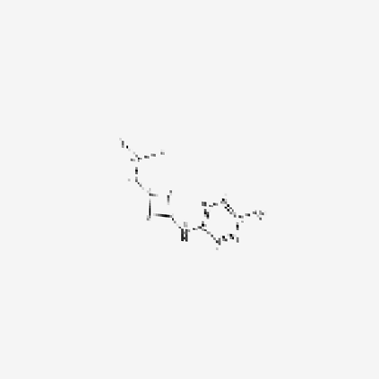 N#Cc1cnc(NC2CC(OC(F)F)C2)cn1